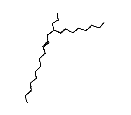 CCCCCCCCCC=CCC(CCC)CCCCCCCC